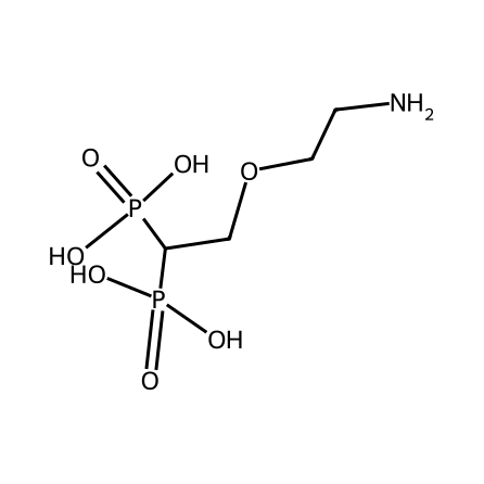 NCCOCC(P(=O)(O)O)P(=O)(O)O